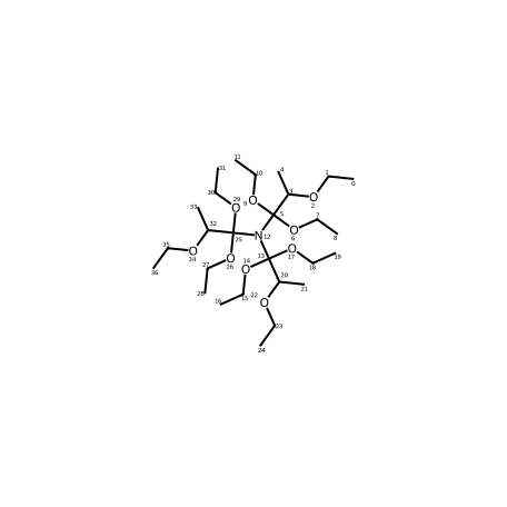 CCOC(C)C(OCC)(OCC)N(C(OCC)(OCC)C(C)OCC)C(OCC)(OCC)C(C)OCC